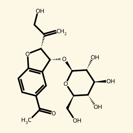 C=C(CO)[C@H]1Oc2ccc(C(C)=O)cc2[C@H]1O[C@@H]1O[C@H](CO)[C@@H](O)[C@H](O)[C@H]1O